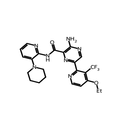 CCOc1ccnc(-c2cnc(N)c(C(=O)Nc3ncccc3N3CCCCC3)n2)c1C(F)(F)F